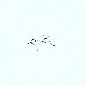 CCOP1(=O)N=C(C2=C(O)C(C(C)(C)C)N(CCC(C)(C)C)C2=O)Nc2ccc(C(F)(F)F)cc21